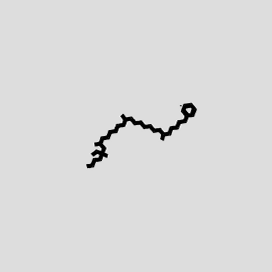 CCCCC(C)(CC)CC(C)CCCCCCC(C)CCCCCCCC(C)CCCCCc1c[c]ccc1